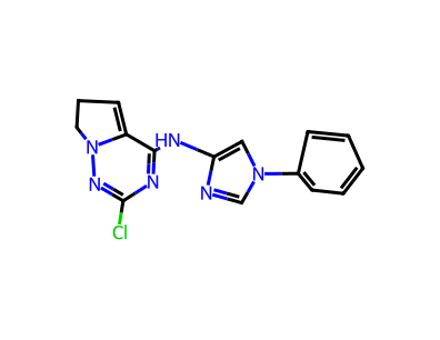 ClC1=NN2CCC=C2C(Nc2cn(-c3ccccc3)cn2)=N1